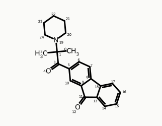 CC(C)(C(=O)c1ccc2c(c1)C(=O)c1ccccc1-2)N1CCCCC1